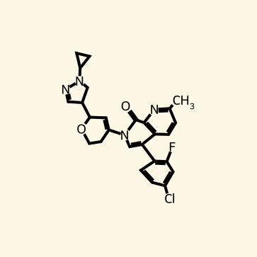 Cc1ccc2c(-c3ccc(Cl)cc3F)cn(C3=CC(C4C=NN(C5CC5)C4)OCC3)c(=O)c2n1